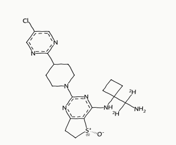 [2H]C([2H])(N)C1(Nc2nc(N3CCC(c4ncc(Cl)cn4)CC3)nc3c2[S@+]([O-])CC3)CCC1